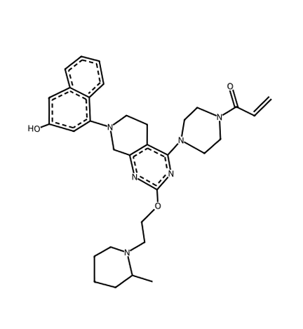 C=CC(=O)N1CCN(c2nc(OCCN3CCCCC3C)nc3c2CCN(c2cc(O)cc4ccccc24)C3)CC1